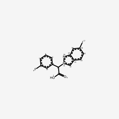 O=C(O)C(c1cccc(F)c1)n1cc2ccc(I)cc2n1